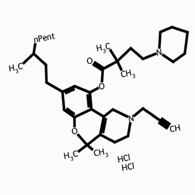 C#CCN1CCC2=C(C1)c1c(OC(=O)C(C)(C)CCN3CCCCC3)cc(CCC(C)CCCCC)cc1OC2(C)C.Cl.Cl